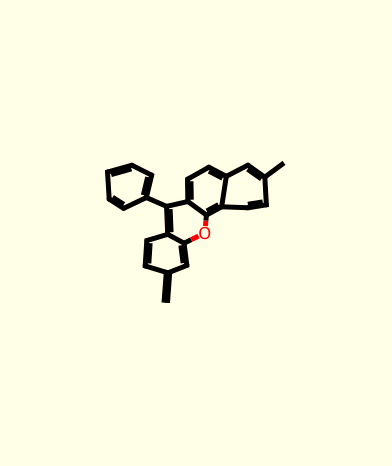 C=c1ccc2c(c1)Oc1c(ccc3cc(C)ccc13)C=2c1ccccc1